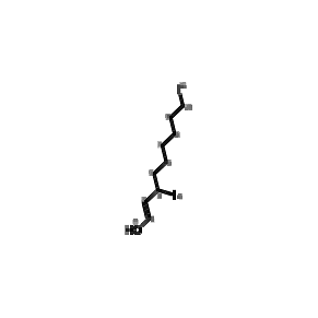 OC=CC(I)CCCCCCI